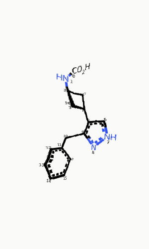 O=C(O)NC12CC(c3c[nH]nc3Cc3ccccc3)(C1)C2